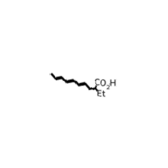 CC=CC=CC=CCC(CC)C(=O)O